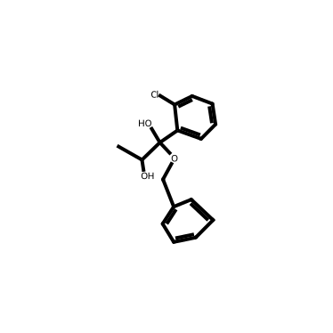 CC(O)C(O)(OCc1ccccc1)c1ccccc1Cl